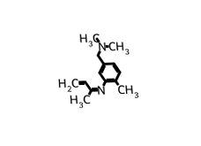 C=C/C(C)=N\c1cc(CN(C)C)ccc1C